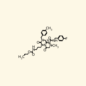 C=CCOC(=O)NCCC[C@H]1C(=O)N(Cc2ccc(C)cc2)C[C@H]2N1C(=O)CN(C)N2C(=O)NCc1ccc(F)cc1